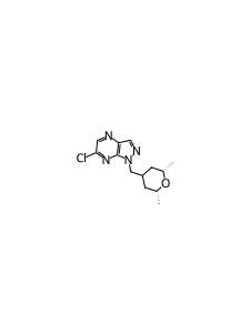 C[C@@H]1CC(Cn2ncc3ncc(Cl)nc32)C[C@H](C)O1